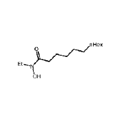 CCCCCCCCCCCC(=O)N(O)CC